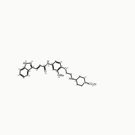 CCOC(=O)N1CCC(NCCOc2ccc(NC(=O)C=Cc3n[nH]c4ccccc34)cc2OC)CC1